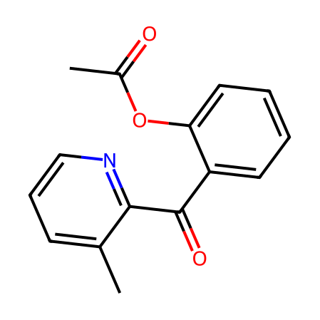 CC(=O)Oc1ccccc1C(=O)c1ncccc1C